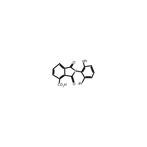 CCCc1cccc(C(C)C)c1N1C(=O)c2cccc(C(=O)O)c2C1=O